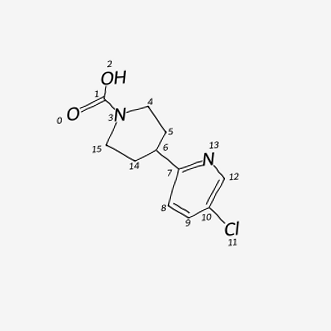 O=C(O)N1CCC(c2ccc(Cl)cn2)CC1